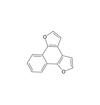 c1ccc2c(c1)c1occc1c1ccoc21